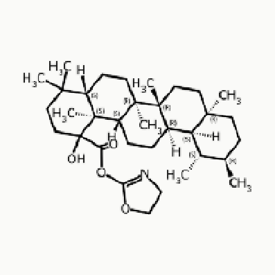 C[C@@H]1[C@H]2[C@H]3CC[C@@H]4[C@]5(C)[C@@H](CC[C@@]4(C)[C@]3(C)CC[C@@]2(C)CC[C@H]1C)C(C)(C)CCC5(O)C(=O)OC1=NCCO1